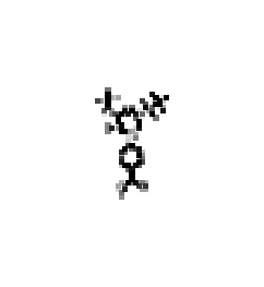 COC(=O)c1ccc([C@H](CO[Si](C)(C)C(C)(C)C)NC(=O)OC(C)(C)C)cc1